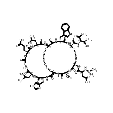 CC(C)C[C@@H]1NC(=O)[C@H](Cc2c[nH]cn2)NC(=O)[C@@H]2CCCSSCC[C@H](NC(=O)[C@H](CC(C)C)NC(=O)[C@H](CCC(=O)O)NC(=O)CNC1=O)C(=O)N[C@@H](Cc1c[nH]c3ccccc13)C(=O)N[C@H](C(=O)N[C@H](C(N)=O)[C@@H](C)O)CSSC[C@H](NC(=O)[C@H](CC(=O)O)NN(C)N)C(=O)N[C@@H](C)C(=O)N2